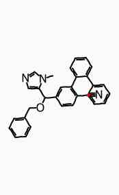 Cn1cncc1C(OCc1ccccc1)c1ccc(C#N)c(-c2ccccc2-c2ccccc2)c1